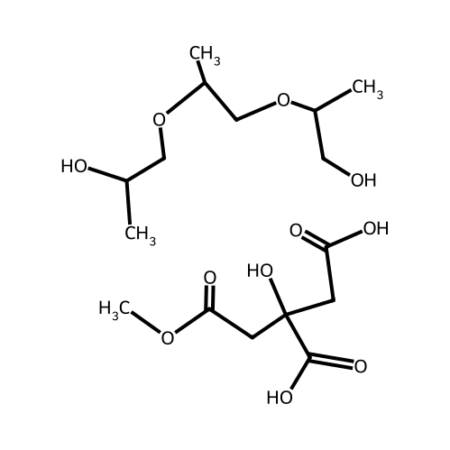 CC(O)COC(C)COC(C)CO.COC(=O)CC(O)(CC(=O)O)C(=O)O